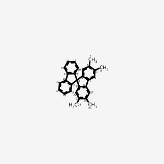 Cc1cc2c(cc1C)C1(c3ccccc3-c3ccccc31)c1cc(C)c(C)cc1-2